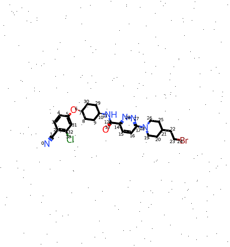 N#Cc1ccc(O[C@H]2CC[C@H](NC(=O)c3ccc(N4CCC(CCBr)CC4)nn3)CC2)cc1Cl